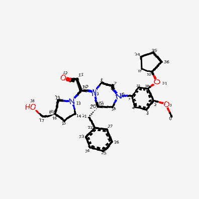 COc1ccc(N2CCN(C(C=O)N3CC[C@@H](CO)C3)[C@@H](Cc3ccccc3)C2)cc1OC1CCCC1